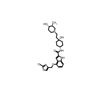 C[C@H]1CN(CC[C@]2(O)CC[C@@H](NC(=O)c3cc4c(OCc5csc(Cl)n5)cccc4[nH]3)CC2)CC[C@@H]1O